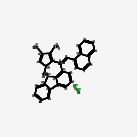 CC1=[C](/[Zr+2](=[CH]/c2cccc3ccccc23)[c]2cccc3c2Cc2ccccc2-3)C(C)C=C1C(C)(C)C.[Cl-].[Cl-]